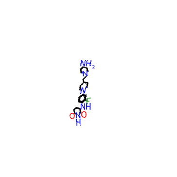 NC1CCN(CCC2CCN(c3ccc(NC4CCC(=O)NC4=O)c(F)c3)CC2)CC1